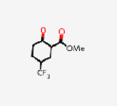 COC(=O)C1CC(C(F)(F)F)CCC1=O